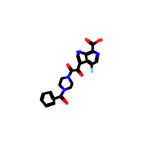 O=C(O)c1ncc(F)c2c(C(=O)C(=O)N3CCN(C(=O)c4ccccc4)CC3)c[nH]c12